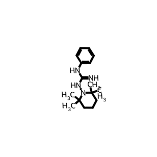 CC1(C)CCCC(C)(C)N1NC(=N)Nc1ccccc1